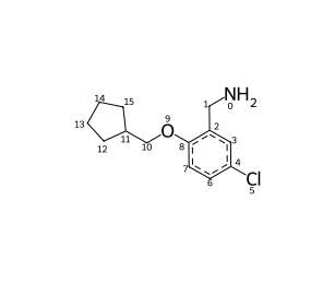 NCc1cc(Cl)ccc1OCC1CCCC1